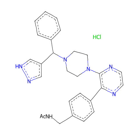 CC(=O)NCc1ccc(-c2nccnc2N2CCN(C(c3ccccc3)c3cn[nH]c3)CC2)cc1.Cl